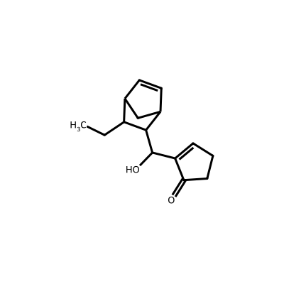 CCC1C2C=CC(C2)C1C(O)C1=CCCC1=O